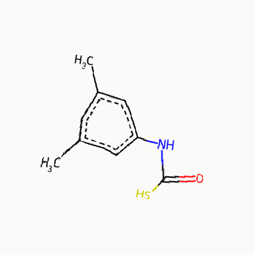 Cc1cc(C)cc(NC(=O)S)c1